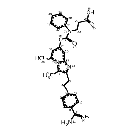 Cc1c(CCc2ccc(C(=N)N)cc2)nc2cc(OC(=O)N(CCC(=O)O)c3ccccc3)ccn12.Cl